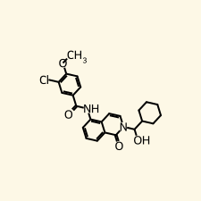 COc1ccc(C(=O)Nc2cccc3c(=O)n(C(O)C4CCCCC4)ccc23)cc1Cl